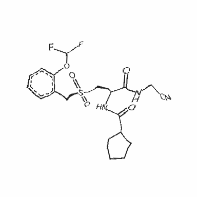 N#CCNC(=O)[C@H](CS(=O)(=O)Cc1ccccc1OC(F)F)NC(=O)C1CCCC1